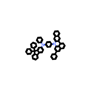 c1ccc(-c2cc3c4c(cccc4c2)-c2cc4ccccc4cc2N3c2ccc(N(c3ccccc3)c3ccc4c(c3)C(c3ccccc3)(c3ccccc3)c3ccccc3-4)cc2)cc1